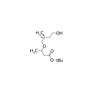 CC(CC(=O)OC(C)(C)C)OC[C@@H](C)CCO